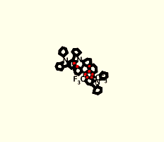 N#Cc1cccc(-n2c3ccccc3c3c2ccc2c4ccccc4n(-c4ccccc4)c23)c1-c1c(-c2cc(C(F)(F)F)cc(C(F)(F)F)c2)cccc1-n1c2ccccc2c2c1ccc1c3ccccc3n(-c3ccccc3)c12